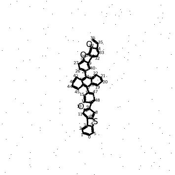 c1ccc2c(c1)sc1cc3c(cc12)oc1cc(-c2c4ccccc4c(-c4ccc5oc6c(ccc7ccoc76)c5c4)c4ccccc24)ccc13